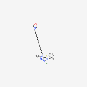 Cc1nc2nc(Cl)nc(SC(C)C)c2n1CCCCCCCCCCCCCCCCN1CCOCC1